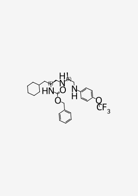 C[C@@H](CNc1ccc(OC(F)(F)F)cc1)NC[C@H](CC1CCCCC1)NC(=O)OCc1ccccc1